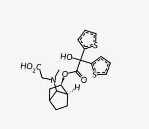 CN(CC(=O)O)C1C2CC[C@@H]1[C@H](OC(=O)C(O)(c1cccs1)c1cccs1)C2